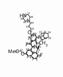 CC#Cc1c(F)ccc2cc(OCOC)cc(-c3ncc4c(N5CC6CCC(C6)C5)nc(OCCCN5CCNCC5)nc4c3F)c12